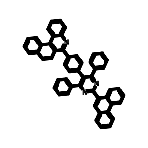 c1ccc(-c2nc(-c3cc4ccccc4c4ccccc34)nc(-c3ccccc3)c2-c2ccc(-c3nc4ccccc4c4c3ccc3ccccc34)cc2)cc1